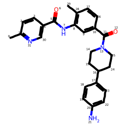 Cc1ccc(C(=O)Nc2cc(C(=O)N3CCC(c4ccc(N)cc4)CC3)ccc2C)cn1